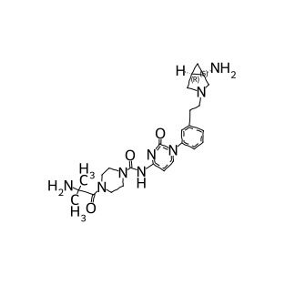 CC(C)(N)C(=O)N1CCN(C(=O)Nc2ccn(-c3cccc(CCN4C[C@H]5C[C@@]5(N)C4)c3)c(=O)n2)CC1